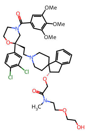 COc1cc(C(=O)N2CCO[C@@](CCN3CCC4(CC3)c3ccccc3C[C@@H]4OCC(=O)N(C)CCOCCO)(c3ccc(Cl)c(Cl)c3)C2)cc(OC)c1OC